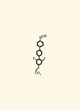 CCCc1cc(F)c(-c2ccc(-c3ccc(N=C=S)cc3)cc2)c(F)c1